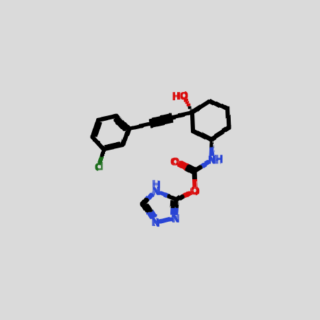 O=C(N[C@@H]1CCC[C@](O)(C#Cc2cccc(Cl)c2)C1)Oc1nnc[nH]1